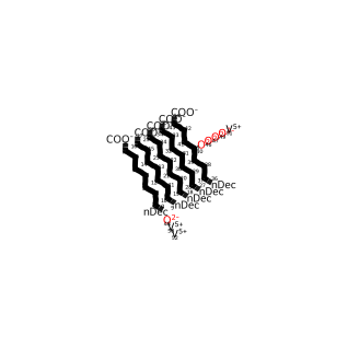 CCCCCCCCCCCCCCCCCC(=O)[O-].CCCCCCCCCCCCCCCCCC(=O)[O-].CCCCCCCCCCCCCCCCCC(=O)[O-].CCCCCCCCCCCCCCCCCC(=O)[O-].CCCCCCCCCCCCCCCCCC(=O)[O-].[O-2].[O-2].[O-2].[O-2].[O-2].[V+5].[V+5].[V+5]